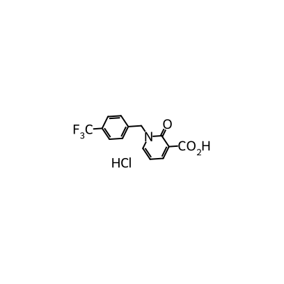 Cl.O=C(O)c1cccn(Cc2ccc(C(F)(F)F)cc2)c1=O